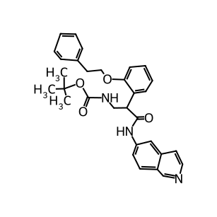 CC(C)(C)OC(=O)NCC(C(=O)Nc1ccc2cnccc2c1)c1ccccc1OCCc1ccccc1